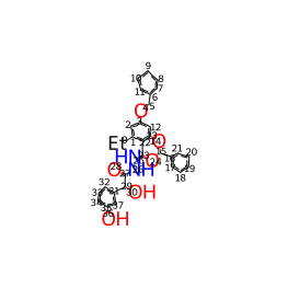 CCc1cc(OCc2ccccc2)cc(OCc2ccccc2)c1C(=O)NNC(=O)C(O)c1cccc(O)c1